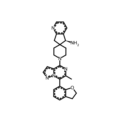 Cc1nc(N2CCC3(CC2)Cc2ncccc2[C@H]3N)c2ccnn2c1-c1cccc2c1OCC2